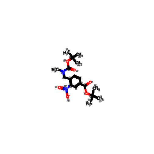 CN(Cc1ccc(C(=O)OC(C)(C)C)cc1[N+](=O)[O-])C(=O)OC(C)(C)C